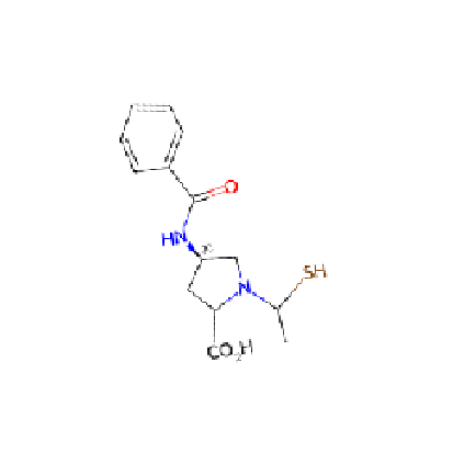 CC(S)N1C[C@H](NC(=O)c2ccccc2)CC1C(=O)O